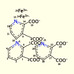 O=C([O-])c1cccnc1C(=O)[O-].O=C([O-])c1cccnc1C(=O)[O-].O=C([O-])c1cccnc1C(=O)[O-].[Fe+3].[Fe+3]